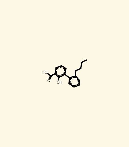 CCCCc1ccccc1-c1cccc(C(=O)O)c1O